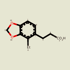 CCc1c(CCC(=O)O)ccc2c1OCO2